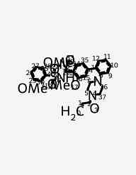 C=CC(=O)N1CCN(c2ccccc2-c2cc(OC)c3c(NS(=O)(=O)c4c(OC)cccc4OC)noc3c2)CC1